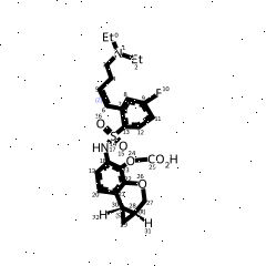 CCN(CC)CC/C=C\c1cc(F)ccc1S(=O)(=O)Nc1ccc2c(c1OC(=O)O)OC[C@@H]1C[C@H]21